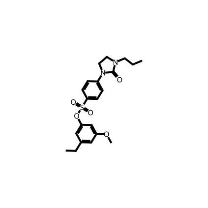 CCCN1CCN(c2ccc(S(=O)(=O)Oc3cc(CC)cc(OC)c3)cc2)C1=O